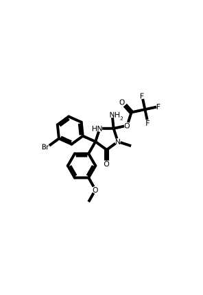 COc1cccc(C2(c3cccc(Br)c3)NC(N)(OC(=O)C(F)(F)F)N(C)C2=O)c1